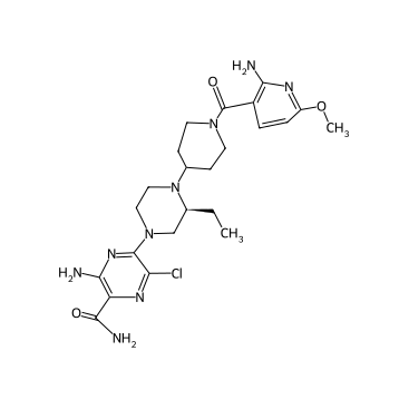 CC[C@H]1CN(c2nc(N)c(C(N)=O)nc2Cl)CCN1C1CCN(C(=O)c2ccc(OC)nc2N)CC1